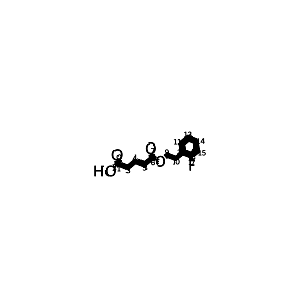 O=C(O)CCCC(=O)OCCc1ccccc1F